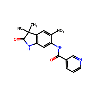 CC1(C#N)C(=O)Nc2cc(NC(=O)c3cccnc3)c([N+](=O)[O-])cc21